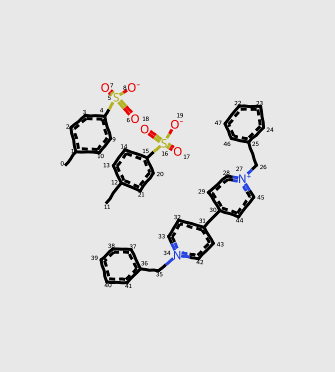 Cc1ccc(S(=O)(=O)[O-])cc1.Cc1ccc(S(=O)(=O)[O-])cc1.c1ccc(C[n+]2ccc(-c3cc[n+](Cc4ccccc4)cc3)cc2)cc1